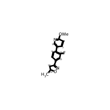 COc1ccc(-c2ccc(C3=NOC(C)C3)cc2F)cn1